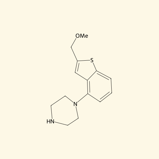 COCc1cc2c(N3CCNCC3)cccc2s1